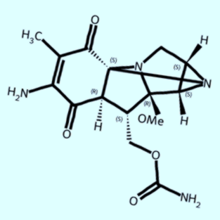 CO[C@]12[C@H](COC(N)=O)[C@H]3C(=O)C(N)=C(C)C(=O)[C@]34N3[C@H]1[C@@H]3CN24